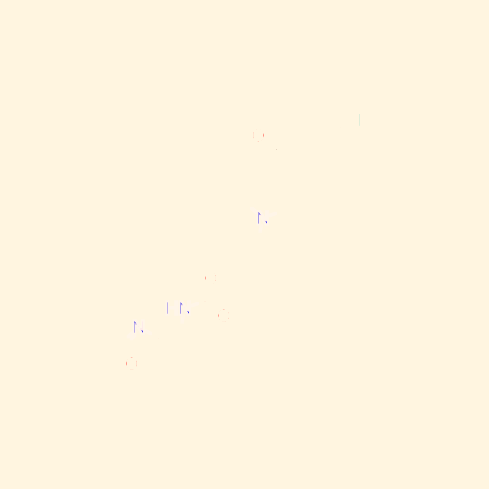 O=C(Nc1cccc2ocnc12)OCCCN1CCC(C(=O)c2ccc(F)cc2)CC1